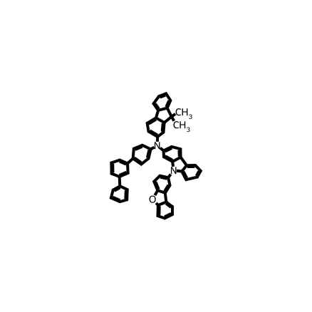 CC1(C)c2ccccc2-c2ccc(N(c3ccc(-c4cccc(-c5ccccc5)c4)cc3)c3ccc4c5ccccc5n(-c5ccc6oc7ccccc7c6c5)c4c3)cc21